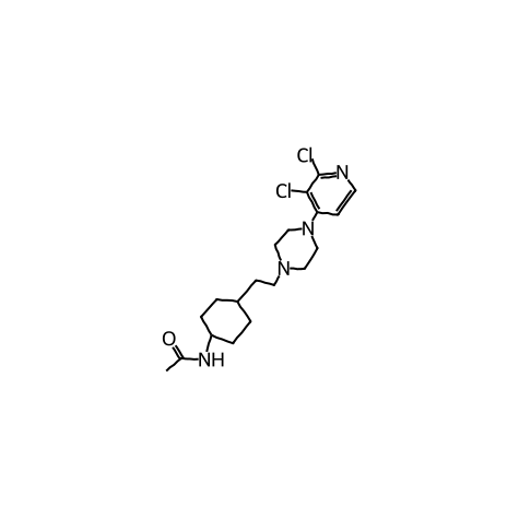 CC(=O)NC1CCC(CCN2CCN(c3ccnc(Cl)c3Cl)CC2)CC1